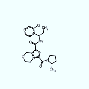 CC[C@@H](NC(=O)c1cc(C(=O)N2CCC[C@@H]2C)n2c1COCC2)c1ccncc1Cl